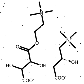 C[N+](C)(C)CCOC(=O)C(O)C(O)C(=O)[O-].C[N+](C)(C)C[C@H](O)CC(=O)[O-]